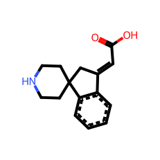 O=C(O)C=C1CC2(CCNCC2)c2ccccc21